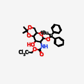 CC1(C)OCC2OC(O[Si](c3ccccc3)(c3ccccc3)C(C)(C)C)C(NC(=O)OCC(Cl)(Cl)Cl)C(O)C2O1